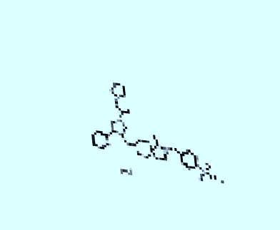 CS(=O)(=O)c1ccc(CN2CCC3(CCN(CC4CN(C(=O)CC5CCCC5)CC4c4ccccc4)CC3)C2=O)cc1.Cl